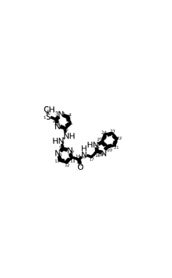 CSc1nccc(NNc2nccc(C(=O)NCc3nc4ccccc4[nH]3)n2)n1